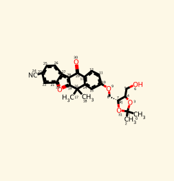 CC1(C)OC(CO)[C@@H](COc2ccc3c(c2)C(C)(C)c2oc4cc(C#N)ccc4c2C3=O)O1